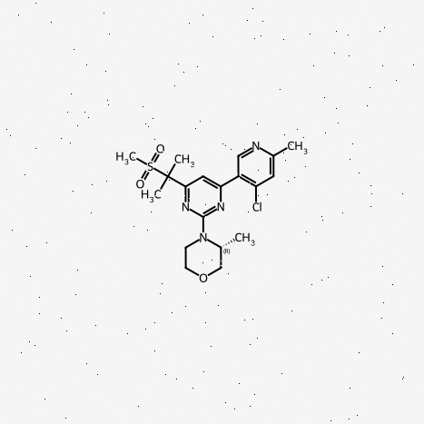 Cc1cc(Cl)c(-c2cc(C(C)(C)S(C)(=O)=O)nc(N3CCOC[C@H]3C)n2)cn1